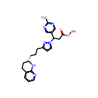 CCCCOC(=O)CC(c1cnc(C)nc1)n1ccc(CCC[C@H]2CCc3cccnc3N2)n1